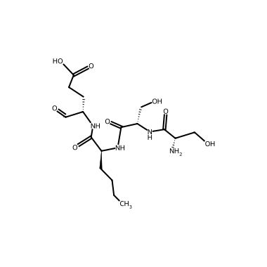 CCCC[C@H](NC(=O)[C@H](CO)NC(=O)[C@@H](N)CO)C(=O)N[C@H]([C]=O)CCC(=O)O